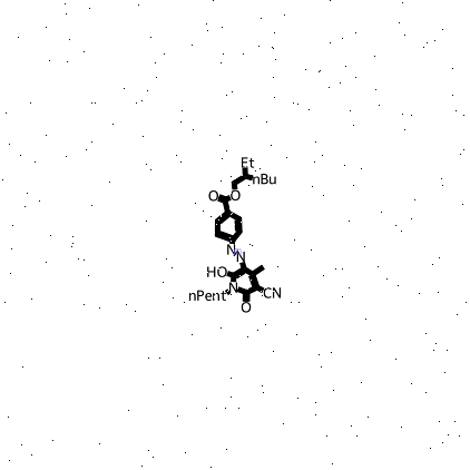 CCCCCn1c(O)c(/N=N/c2ccc(C(=O)OCC(CC)CCCC)cc2)c(C)c(C#N)c1=O